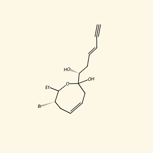 C#C/C=C/C[C@@H](O)C1(O)C/C=C\C[C@H](Br)C(CC)O1